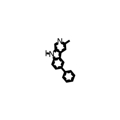 Cc1cc2c3cc(-c4ccccc4)ccc3n(I)c2cn1